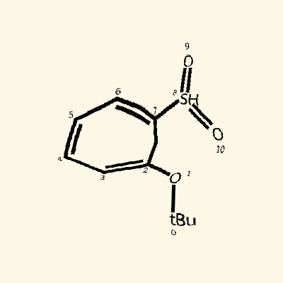 CC(C)(C)Oc1ccccc1[SH](=O)=O